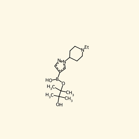 CCN1CCC(n2cc(B(O)OC(C)(C)C(C)(C)O)cn2)CC1